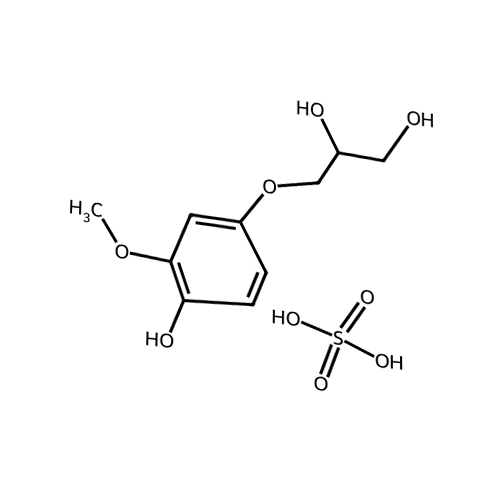 COc1cc(OCC(O)CO)ccc1O.O=S(=O)(O)O